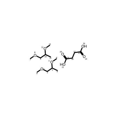 COCC(C)OC.COCC(C)OC.O=C(O)CCC(=O)O